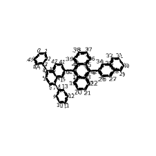 c1ccc(-c2ccc(-c3ccccc3)c3cc(-c4c5ccccc5c(-c5ccc6ccccc6c5)c5ccccc45)ccc23)cc1